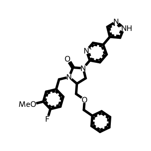 COc1cc(CN2C(=O)N(c3ccc(-c4cn[nH]c4)cn3)CC2COCc2ccccc2)ccc1F